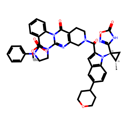 C[C@H]1C[C@]1(c1noc(=O)[nH]1)n1c(C(=O)N2CCc3c(nc(N4CCN(c5ccccc5)C4=O)n(-c4ccccc4C(=O)OC(C)(C)C)c3=O)C2)cc2cc(C3CCOCC3)ccc21